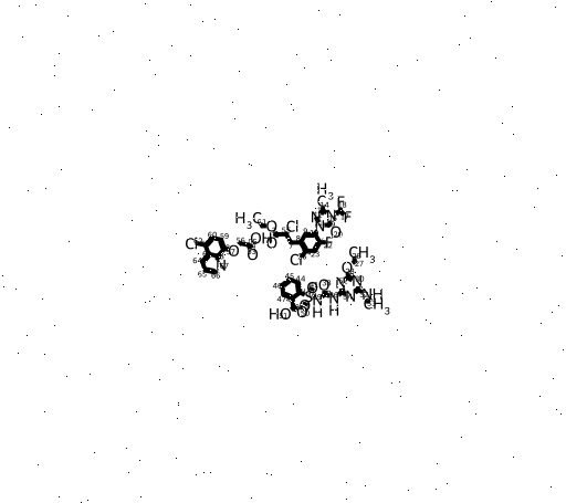 CCOC(=O)C(Cl)Cc1cc(-n2nc(C)n(C(F)F)c2=O)c(F)cc1Cl.CCOc1nc(NC)nc(NC(=O)NS(=O)(=O)c2ccccc2C(=O)O)n1.O=C(O)COc1ccc(Cl)c2cccnc12